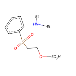 CCNCC.O=S(=O)(O)OCCS(=O)(=O)c1ccccc1